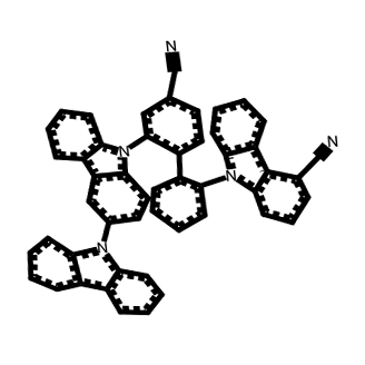 N#Cc1ccc(-c2ccccc2-n2c3ccccc3c3c(C#N)cccc32)c(-n2c3ccccc3c3cc(-n4c5ccccc5c5ccccc54)ccc32)c1